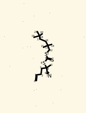 C=CCCC(C)(C#N)SC(=S)SCC(C)(C)CCC(C)(C)C